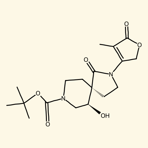 CC1=C(N2CC[C@]3(CCN(C(=O)OC(C)(C)C)C[C@@H]3O)C2=O)COC1=O